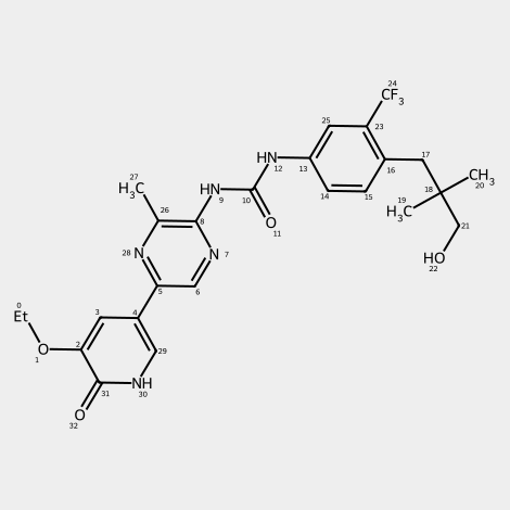 CCOc1cc(-c2cnc(NC(=O)Nc3ccc(CC(C)(C)CO)c(C(F)(F)F)c3)c(C)n2)c[nH]c1=O